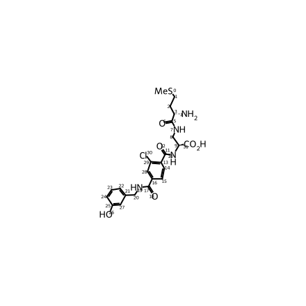 CSCC[C@H](N)C(=O)NC[C@H](NC(=O)c1ccc(C(=O)NCc2cccc(O)c2)cc1Cl)C(=O)O